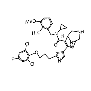 COc1cccc(CN(C(=O)C2=C(c3cnc(CCCOc4c(Cl)cc(F)cc4Cl)s3)CC3CNC[C@H]2N3)C2CC2)c1C